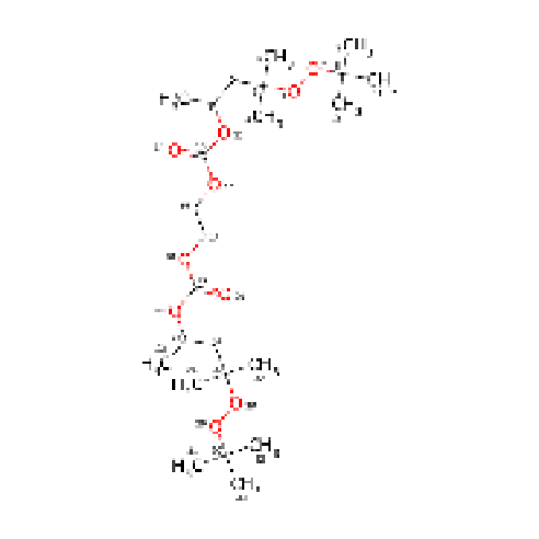 CC(CC(C)(C)OOC(C)(C)C)OC(=O)OCCOC(=O)OC(C)CC(C)(C)OOC(C)(C)C